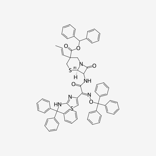 CC=CC1(C(=O)OC(c2ccccc2)c2ccccc2)CS[C@@H]2C(NC(=O)C(=NOC(c3ccccc3)(c3ccccc3)c3ccccc3)c3csc(NC(c4ccccc4)(c4ccccc4)c4ccccc4)n3)C(=O)N2C1